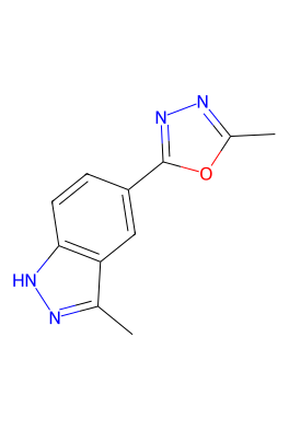 Cc1nnc(-c2ccc3[nH]nc(C)c3c2)o1